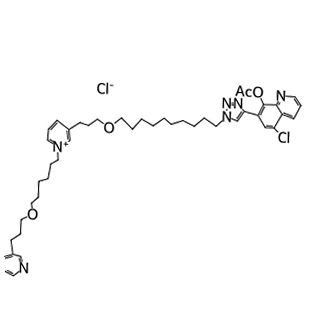 CC(=O)Oc1c(-c2cn(CCCCCCCCCCOCCCc3ccc[n+](CCCCCCOCCCc4cccnc4)c3)nn2)cc(Cl)c2cccnc12.[Cl-]